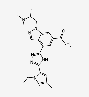 CCn1nc(C)cc1-c1nnc(-c2cc(C(N)=O)cc3c2cnn3CC(C)N(C)C)[nH]1